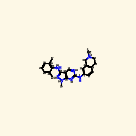 CC(=O)N1CCc2ccc(Nc3ncc4c(Nc5c(C)cccc5C)nn(C)c4n3)cc2C1